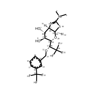 CN(C)C1=N[C@@H]2[C@@H](O)[C@H](O)[C@@H]([C@@H](OCc3cccc(C(F)(F)F)c3)C(F)(F)F)O[C@@H]2S1